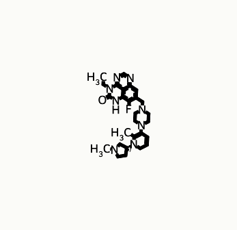 CCN1C(=O)Nc2c(F)c(CN3CCN(C4=C(C)N([C@H]5CCN(C)C5)CC=C4)CC3)cc3ncnc1c23